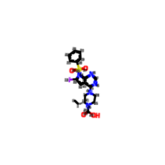 CC[C@@H]1CN(c2ncnc3c2cc(I)n3S(=O)(=O)c2ccccc2)CCN1C(=O)O